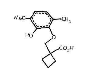 COc1ccc(C)c(OCC2(C(=O)O)CCC2)c1O